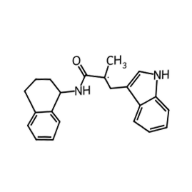 C[C](Cc1c[nH]c2ccccc12)C(=O)NC1CCCc2ccccc21